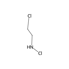 ClCCNCl